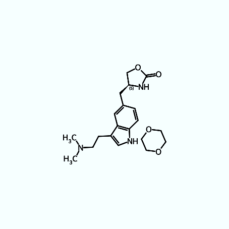 C1COCCO1.CN(C)CCc1c[nH]c2ccc(C[C@H]3COC(=O)N3)cc12